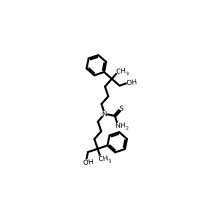 CC(CO)(CCCN(CCCC(C)(CO)c1ccccc1)C(N)=S)c1ccccc1